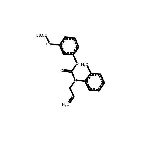 C=CCN(C(=O)Oc1cccc(NC(=O)OCC)c1)c1ccccc1C